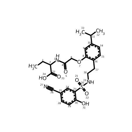 CCC(NC(=O)COc1cc(C(C)C)ccc1CCNS(=O)(=O)c1cc(C#N)ccc1O)C(=O)O